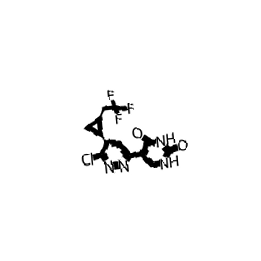 O=c1[nH]cc(-c2cc([C@@H]3C[C@H]3CC(F)(F)F)c(Cl)nn2)c(=O)[nH]1